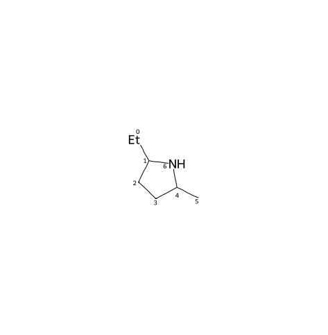 CCC1CCC(C)N1